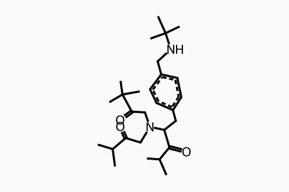 CC(C)C(=O)CN(CC(=O)C(C)(C)C)C(Cc1ccc(CNC(C)(C)C)cc1)C(=O)C(C)C